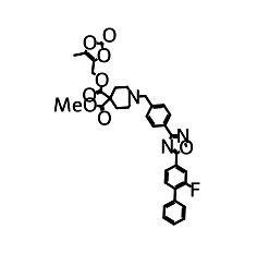 COC(=O)C1(C(=O)OCc2oc(=O)oc2C)CCN(Cc2ccc(-c3noc(-c4ccc(-c5ccccc5)c(F)c4)n3)cc2)CC1